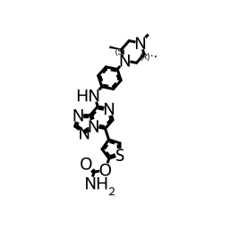 C[C@@H]1CN(c2ccc(Nc3ncc(-c4csc(OC(N)=O)c4)n4ncnc34)cc2)[C@@H](C)CN1C